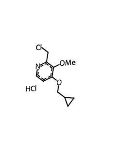 COc1c(OCC2CC2)ccnc1CCl.Cl